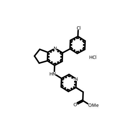 COC(=O)Cc1ccc(Nc2cc(-c3cccc(Cl)c3)nc3c2CCC3)cn1.Cl